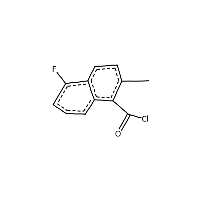 Cc1ccc2c(F)cccc2c1C(=O)Cl